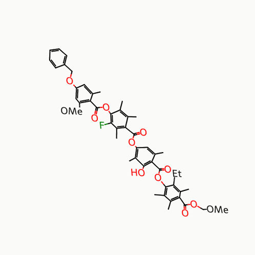 CCc1c(C)c(C(=O)OCOC)c(C)c(C)c1OC(=O)c1c(C)cc(OC(=O)c2c(C)c(C)c(OC(=O)c3c(C)cc(OCc4ccccc4)cc3OC)c(F)c2C)c(C)c1O